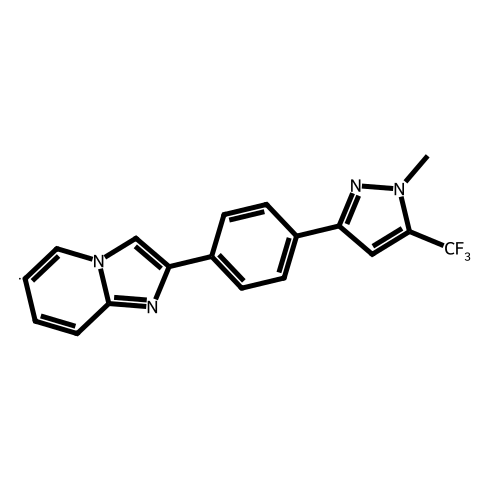 Cn1nc(-c2ccc(-c3cn4c[c]ccc4n3)cc2)cc1C(F)(F)F